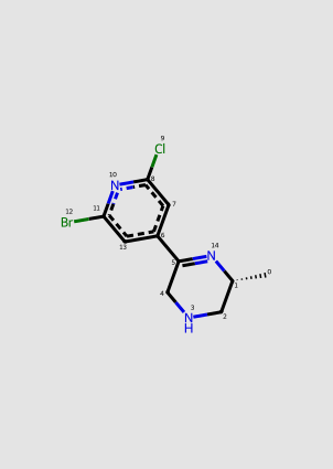 C[C@@H]1CNCC(c2cc(Cl)nc(Br)c2)=N1